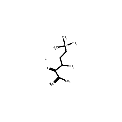 C=C(C)C(=O)C(N)CC[N+](C)(C)C.[Cl-]